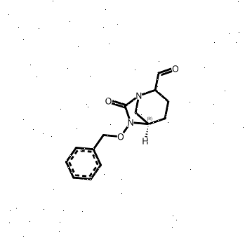 O=CC1CC[C@@H]2CN1C(=O)N2OCc1ccccc1